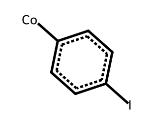 [Co][c]1ccc(I)cc1